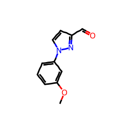 COc1cccc(-n2ccc(C=O)n2)c1